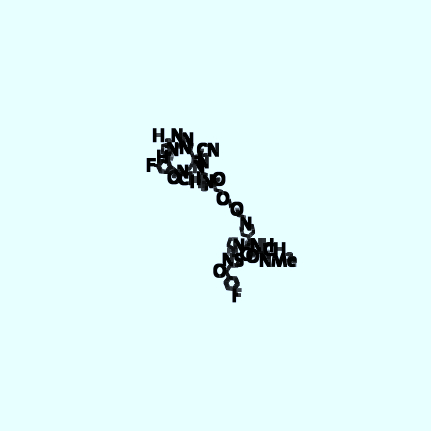 CN[C@H](C)C(=O)N[C@@H](C(=O)N1CCC[C@@H]1C1=NC(C(=O)c2ccc(F)cc2)CS1)C1CCN(CCOCCOCCC(=O)NCCn2nc(C#N)c3c2CN(C)C(=O)c2ccc(F)cc2[C@H]2CCCN2c2nc-3cnc2N)CC1